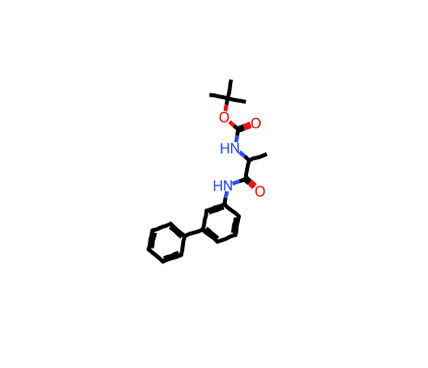 CC(NC(=O)OC(C)(C)C)C(=O)Nc1cccc(-c2ccccc2)c1